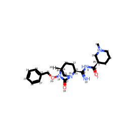 CN1CCC[C@@H](C(=O)NC(=N)[C@@H]2CC[C@@H]3CN2C(=O)N3OCc2ccccc2)C1